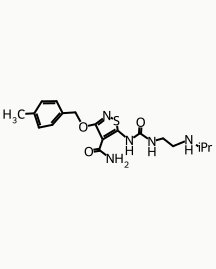 Cc1ccc(COc2nsc(NC(=O)NCCNC(C)C)c2C(N)=O)cc1